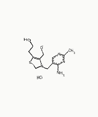 Cc1ncc(CN2CSC(CCO)=C2CCl)c(N)n1.Cl